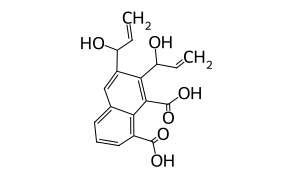 C=CC(O)c1cc2cccc(C(=O)O)c2c(C(=O)O)c1C(O)C=C